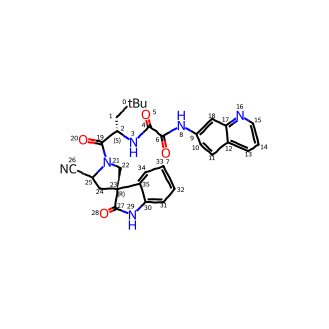 CC(C)(C)C[C@H](NC(=O)C(=O)Nc1ccc2cccnc2c1)C(=O)N1C[C@]2(CC1C#N)C(=O)Nc1ccccc12